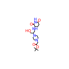 CC(C)(C)OC(=O)CN1CCN(C(CO)CNC2CCC(=O)NC2=O)CC1